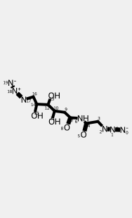 [N-]=[N+]=NCC(=O)NC(=O)CC(O)C(O)C(O)CN=[N+]=[N-]